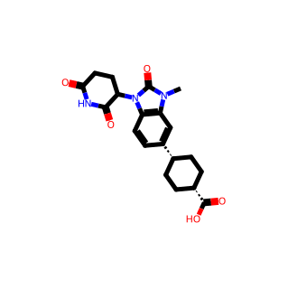 Cn1c(=O)n(C2CCC(=O)NC2=O)c2ccc([C@H]3CC[C@@H](C(=O)O)CC3)cc21